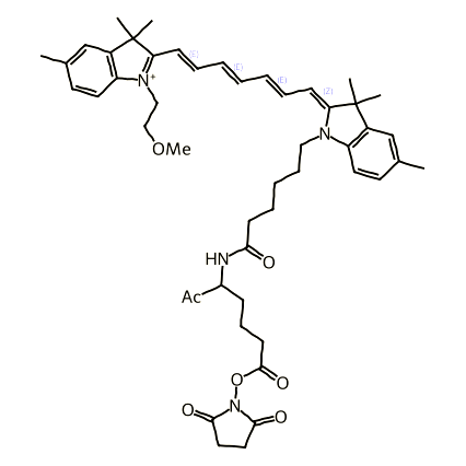 COCC[N+]1=C(/C=C/C=C/C=C/C=C2\N(CCCCCC(=O)NC(CCCC(=O)ON3C(=O)CCC3=O)C(C)=O)c3ccc(C)cc3C2(C)C)C(C)(C)c2cc(C)ccc21